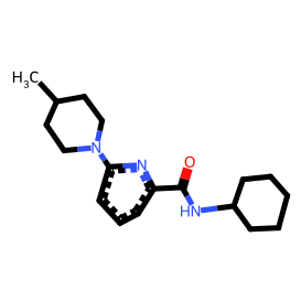 CC1CCN(c2cccc(C(=O)NC3CCCCC3)n2)CC1